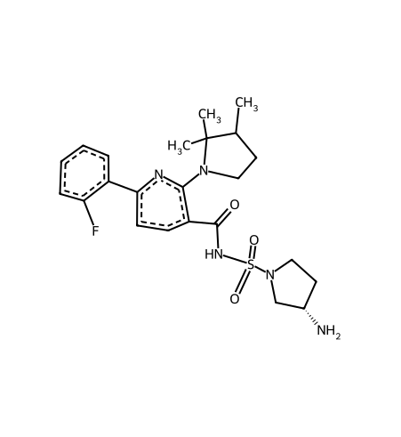 CC1CCN(c2nc(-c3ccccc3F)ccc2C(=O)NS(=O)(=O)N2CC[C@H](N)C2)C1(C)C